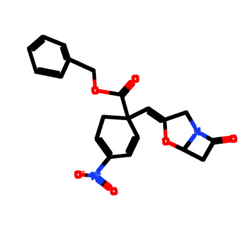 O=C1CC2OC(=CC3(C(=O)OCc4ccccc4)C=CC([N+](=O)[O-])=CC3)CN12